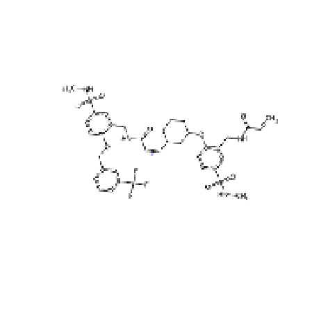 C=CC(=O)NCc1cc(S(=O)(=O)NC)ccc1OC1CCCC(/C=C\C(=O)NCc2cc(S(=O)(=O)NC)ccc2OCc2cccc(C(F)(F)F)c2)C1